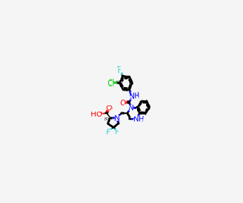 O=C(O)[C@@H]1CC(F)(F)CN1CC1CNc2ccccc2N1C(=O)Nc1ccc(F)c(Cl)c1